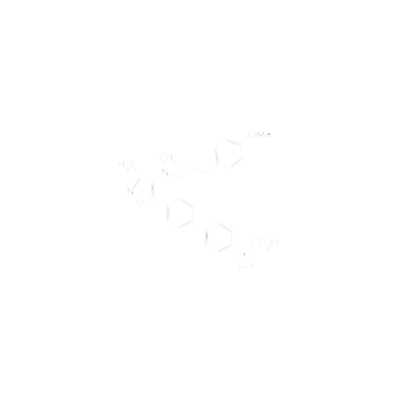 CCOC(=O)C1(c2ccc(-c3ccc(-c4onc(C)c4N(C)CCCc4ccc(OC)cc4)cc3)cc2)CC1